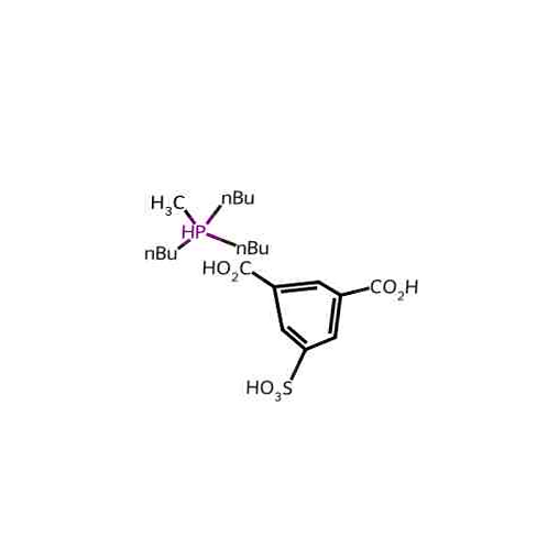 CCCC[PH](C)(CCCC)CCCC.O=C(O)c1cc(C(=O)O)cc(S(=O)(=O)O)c1